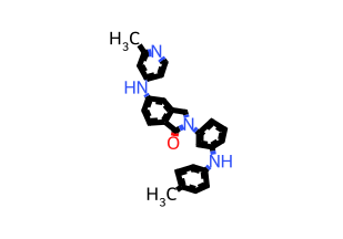 Cc1ccc(Nc2cccc(N3Cc4cc(Nc5ccnc(C)c5)ccc4C3=O)c2)cc1